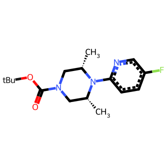 C[C@@H]1CN(C(=O)OC(C)(C)C)C[C@H](C)N1c1ccc(F)cn1